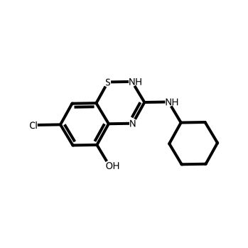 Oc1cc(Cl)cc2c1N=C(NC1CCCCC1)NS2